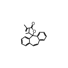 C=C(C)C(=O)OC1(C(C)C)c2ccccc2C=Cc2ccccc21